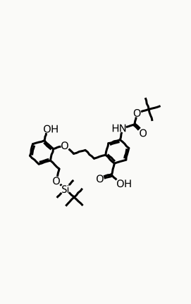 CC(C)(C)OC(=O)Nc1ccc(C(=O)O)c(CCCOc2c(O)cccc2CO[Si](C)(C)C(C)(C)C)c1